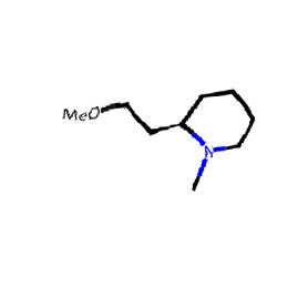 COCC[C@H]1CCCCN1C